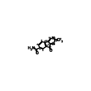 NC(=O)c1ccc2c(c1)C(=O)c1nc(C(F)(F)F)ncc1-2